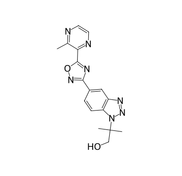 Cc1nccnc1-c1nc(-c2ccc3c(c2)nnn3C(C)(C)CO)no1